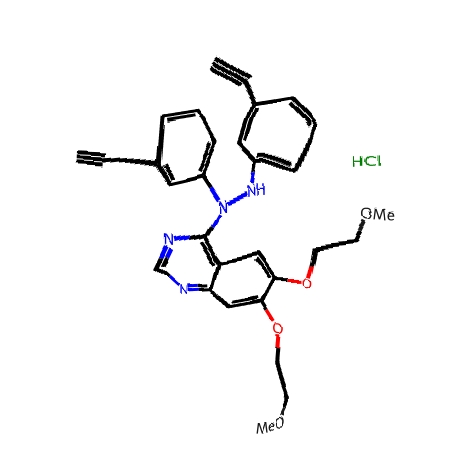 C#Cc1cccc(NN(c2cccc(C#C)c2)c2ncnc3cc(OCCOC)c(OCCOC)cc23)c1.Cl